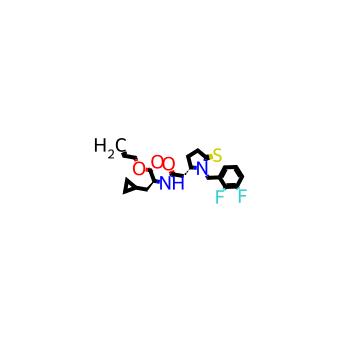 C=CCOC(=O)[C@H](CC1CC1)NC(=O)C[C@@H]1CCC(=S)N1Cc1cccc(F)c1F